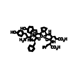 CC(C)C[C@H](NC(=O)[C@H](CCC(=O)O)NC(=O)[C@@H]1CCCN1C(=O)[C@H](Cc1ccc(O)cc1)NC(=O)[C@H](Cc1ccccc1)NC(=O)[C@@H](N)Cc1ccc(O)cc1)C(=O)O